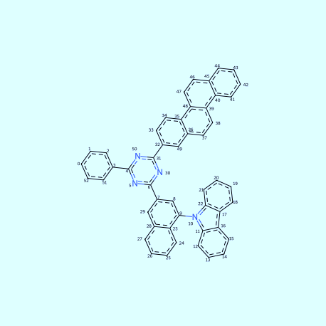 c1ccc(-c2nc(-c3cc(-n4c5ccccc5c5ccccc54)c4ccccc4c3)nc(-c3ccc4c(ccc5c6ccccc6ccc45)c3)n2)cc1